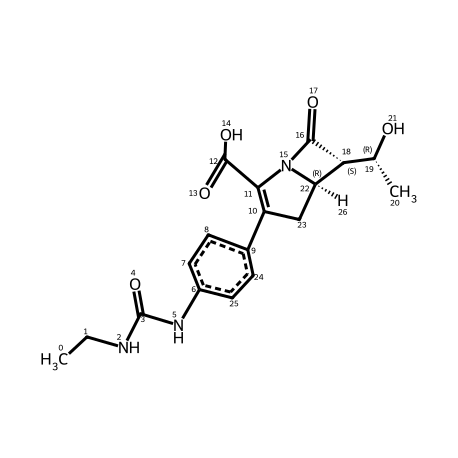 CCNC(=O)Nc1ccc(C2=C(C(=O)O)N3C(=O)[C@H]([C@@H](C)O)[C@H]3C2)cc1